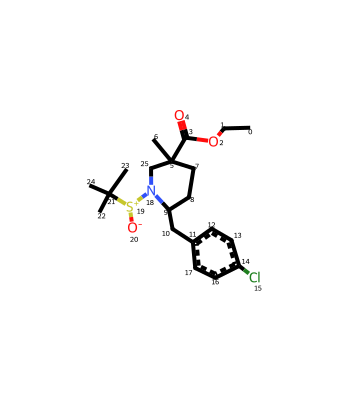 CCOC(=O)C1(C)CCC(Cc2ccc(Cl)cc2)N([S+]([O-])C(C)(C)C)C1